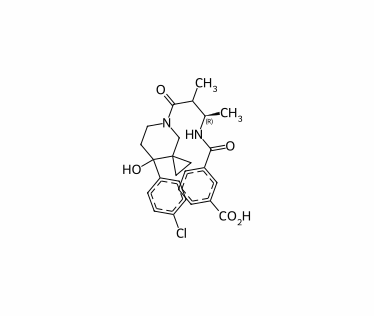 CC(C(=O)N1CCC(O)(c2ccc(Cl)cc2)C2(CC2)C1)[C@@H](C)NC(=O)c1cccc(C(=O)O)c1